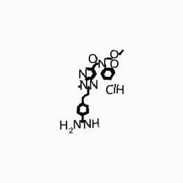 CCOC(=O)CN(C(=O)c1cnc2c(c1)nc(CCc1ccc(C(=N)N)cc1)n2C)c1ccccc1.Cl